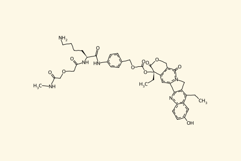 CCc1c2c(nc3ccc(O)cc13)-c1cc3c(c(=O)n1C2)COC(=O)[C@@]3(CC)OC(=O)OCc1ccc(NC(=O)[C@H](CCCCN)NC(=O)COCC(=O)NC)cc1